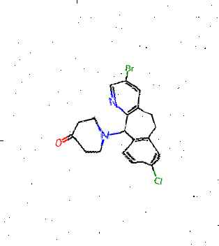 O=C1CCN(C2c3ccc(Cl)cc3CCc3cc(Br)cnc32)CC1